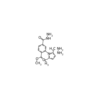 COC(=O)c1ccc(C(=O)NN)cc1-n1c(C)ccc1C.NN